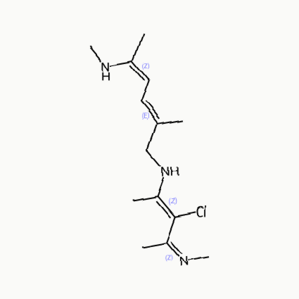 C/N=C(C)\C(Cl)=C(/C)NC/C(C)=C/C=C(/C)NC